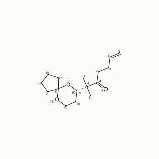 C=CCCC(=O)C(C)(C)[C@@H]1CCOC2(CCCC2)O1